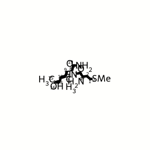 CSCC[C@H](N)C(=O)N[C@@H](C/C(C)=C/C=C(\C)O)C(N)=O